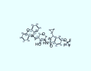 O=S(=NCC1CC1)(N[C@@H]1COCC(SN2c3ccccc3Oc3ccccc32)[C@H]1O)c1ccc(OC(F)(F)F)cc1